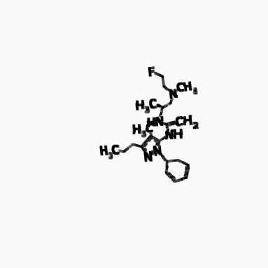 C=C(Nc1c(C)c(CCC)nn1C1C=CC=CC1)N[C@@H](C)CN(C)CCF